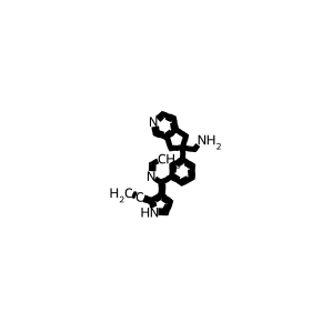 C=C=c1[nH]cc/c1=C(/N=C\C)c1cccc(C2(CN)Cc3ccncc3C2)c1